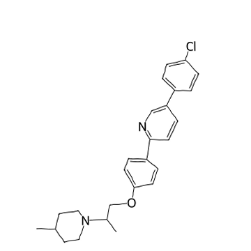 CC1CCN(C(C)COc2ccc(-c3ccc(-c4ccc(Cl)cc4)cn3)cc2)CC1